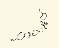 CC(C)(C)c1ccc(NC(=O)N2Cc3ccc(S(=O)(=O)Nc4ccc(F)cc4)cc3C2)cc1